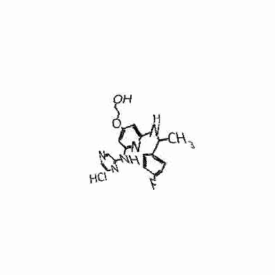 CC(Nc1cc(OCCO)cc(Nc2cnccn2)n1)c1ccc(F)cc1.Cl